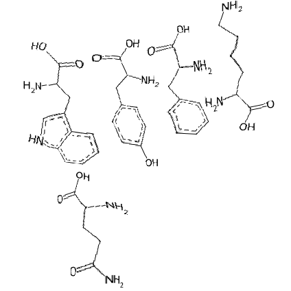 NC(=O)CCC(N)C(=O)O.NC(Cc1c[nH]c2ccccc12)C(=O)O.NC(Cc1ccc(O)cc1)C(=O)O.NC(Cc1ccccc1)C(=O)O.NCCCCC(N)C(=O)O